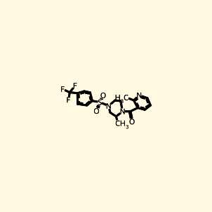 Cc1ncccc1C(=O)N1CCN(S(=O)(=O)c2ccc(C(F)(F)F)cc2)CC1C